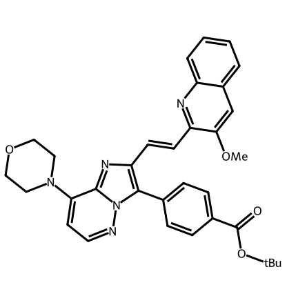 COc1cc2ccccc2nc1/C=C/c1nc2c(N3CCOCC3)ccnn2c1-c1ccc(C(=O)OC(C)(C)C)cc1